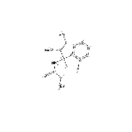 COC(CO)C(C)(NC(=O)OC(C)(C)C)c1ccccc1F